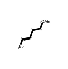 C[CH]C=CCCOC